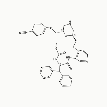 COC(=O)N[C@H](C(=O)Nc1cnccc1CC[C@@H]1CNC[C@@H](COc2ccc(C#N)cc2)O1)C(c1ccccc1)c1ccccc1